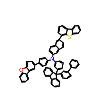 c1ccc(-c2cccc(C3(c4cccc(N(c5ccc(-c6ccc7oc8ccccc8c7c6)cc5)c5ccc6cc(-c7cccc8c7sc7ccccc78)ccc6c5)c4)c4ccccc4-c4ccccc43)c2)cc1